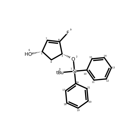 CC(C)(C)[Si](O[C@@H]1C[C@H](O)C=C1F)(c1ccccc1)c1ccccc1